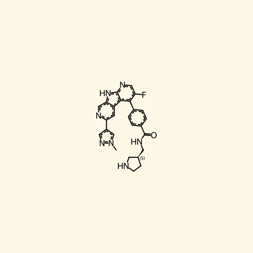 Cn1cc(-c2cc3c(cn2)[nH]c2ncc(F)c(-c4ccc(C(=O)NC[C@H]5CCNC5)cc4)c23)cn1